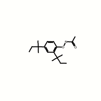 CCC(C)(C)c1ccc(O[N]C(C)=O)c(C(C)(C)CC)c1